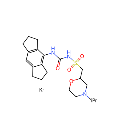 CC(C)N1CCOC(CS(=O)(=O)NC(=O)Nc2c3c(cc4c2CCC4)CCC3)C1.[K]